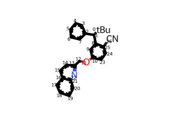 CC(C)(C)C(c1ccccc1)c1cc(OCc2ccc3ccccc3n2)ccc1C#N